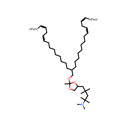 CCCCC/C=C\C/C=C\CCCCCCCCC(CCCCCCCC/C=C\C/C=C\CCCCC)COC1(C)OCC(CC(C)(C)CC(C)(C)N(C)C)O1